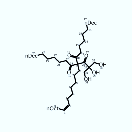 CCCCCCCC/C=C\CCCCCCC(C(=O)CCCCCCCCCCCCCCC)(C(=O)CCCCCCCCCCCCCCC)C(=O)C(O)(CO)CO